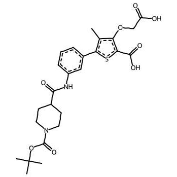 Cc1c(-c2cccc(NC(=O)C3CCN(C(=O)OC(C)(C)C)CC3)c2)sc(C(=O)O)c1OCC(=O)O